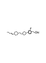 CCC/C=C/C1CCC(CCC2CCC(c3ccc(CCO)c(F)c3)CC2)CC1